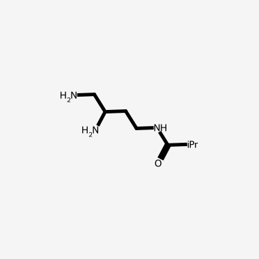 CC(C)C(=O)NCCC(N)CN